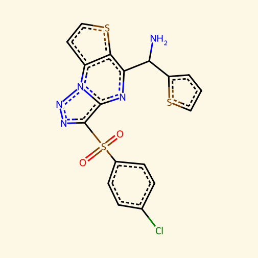 NC(c1cccs1)c1nc2c(S(=O)(=O)c3ccc(Cl)cc3)nnn2c2ccsc12